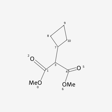 COC(=O)C(C(=O)OC)C1CCC1